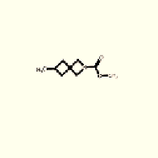 COC(=O)N1CC2(CC(C)C2)C1